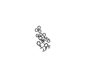 COC(=O)OCOc1c2n(ccc1=O)N(C1c3ccccc3SC(C3CC3)c3c1ccc(F)c3F)C1COCCN1C2=O